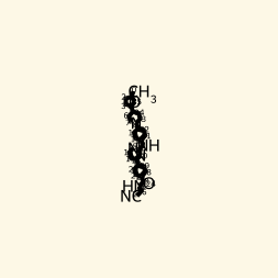 CC1CCC(C2CCN(c3ccc(Nc4nccc(-c5ccc(C(=O)NCC#N)cc5)n4)cc3)CC2)O1